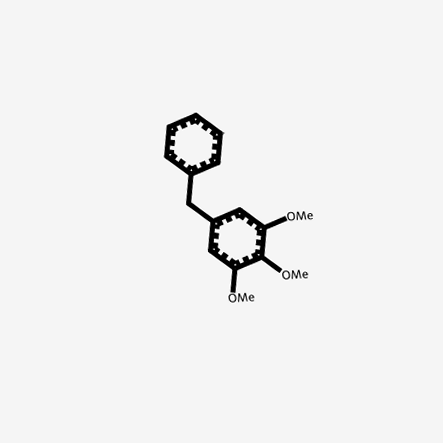 COc1cc(Cc2c[c]ccc2)cc(OC)c1OC